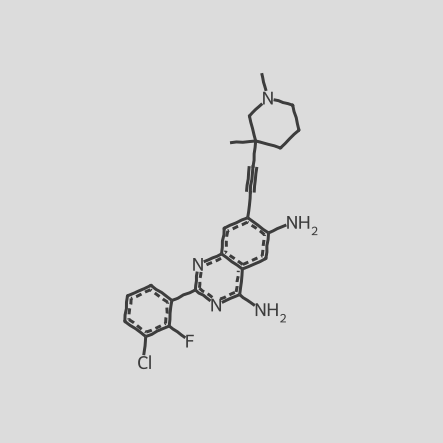 CN1CCCC(C)(C#Cc2cc3nc(-c4cccc(Cl)c4F)nc(N)c3cc2N)C1